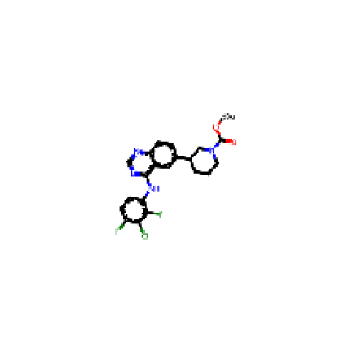 CC(C)(C)OC(=O)N1CCCC(c2ccc3ncnc(Nc4ccc(F)c(Cl)c4F)c3c2)C1